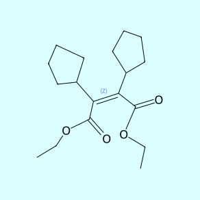 CCOC(=O)/C(=C(\C(=O)OCC)C1CCCC1)C1CCCC1